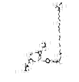 CC(C)[C@H](NC(=O)CCOCCOCCOCCOCCNC(=O)CCCCC1SC[C@H]2NC(=O)N[C@@H]12)C(=O)N[C@@H](C)C(=O)Nc1ccc(CSP2(=O)OC[C@H]3O[C@@H](n4cnc5c(N)ncnc54)[C@H](F)[C@@H]3OP(=O)(O)OC[C@H]3O[C@@H](n4cnc5c(O)ncnc54)C[C@@H]3O2)cc1